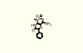 CN1c2[nH]c(=O)c(-c3ccccc3)nc2C(N)=NS1(=O)=O